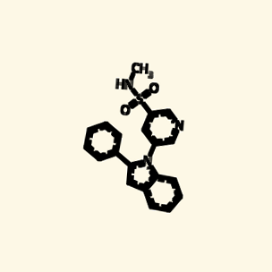 CNS(=O)(=O)c1cncc(-n2c(-c3ccccc3)cc3ccccc32)c1